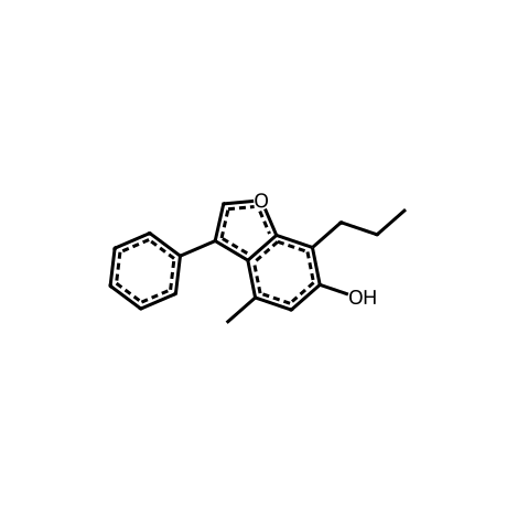 CCCc1c(O)cc(C)c2c(-c3ccccc3)coc12